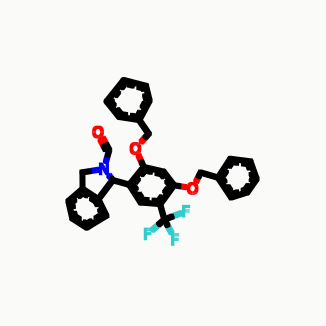 O=CN1Cc2ccccc2C1c1cc(C(F)(F)F)c(OCc2ccccc2)cc1OCc1ccccc1